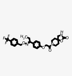 CC/C(=N\OCc1ccc(C(F)(F)F)cc1)c1ccc(OCC(=O)N2CCC3(CC2)CNC(=O)O3)cc1